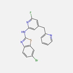 Fc1cc(Cc2ccccn2)cc(Nc2nc3ccc(Br)cc3s2)n1